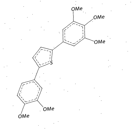 COc1ccc(-c2ccc(-c3cc(OC)c(OC)c(OC)c3)s2)cc1OC